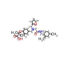 Cc1ccc(CNC(=O)CN(Cc2ccc(OC(C)(C)C(=O)O)cc2)Cc2ccco2)c(C)c1